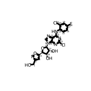 OCc1cc([C@H]2O[C@@H](n3cnc4c(Nc5ccc(F)cc5Cl)nc(Cl)nc43)[C@H](O)[C@@H]2O)on1